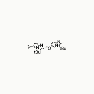 Cc1nc2ccc(OCCc3nc4ccc(C5CC5)cn4c3C(C)(C)C)cn2c1C(C)(C)C